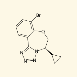 Brc1cccc2c1OC[C@@H](C1CC1)n1nnnc1-2